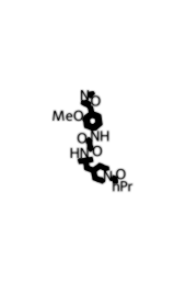 CCCC(=O)N1CCC(CC(C)(C)NC(=O)C(=O)Nc2ccc(-c3cnco3)c(OC)c2)CC1